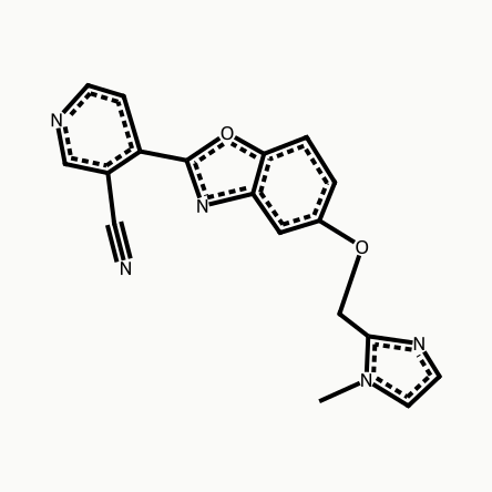 Cn1ccnc1COc1ccc2oc(-c3ccncc3C#N)nc2c1